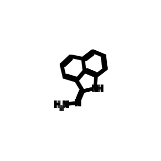 NN=C1Nc2cccc3cccc1c23